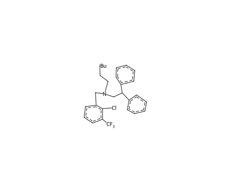 CCC(C)CCN(Cc1cccc(C(F)(F)F)c1Cl)CC(c1ccccc1)c1ccccc1